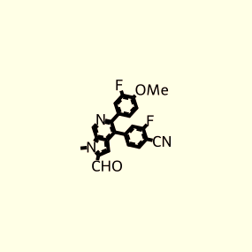 COc1ccc(-c2ncc3c(cc(C=O)n3C)c2-c2ccc(C#N)c(F)c2)cc1F